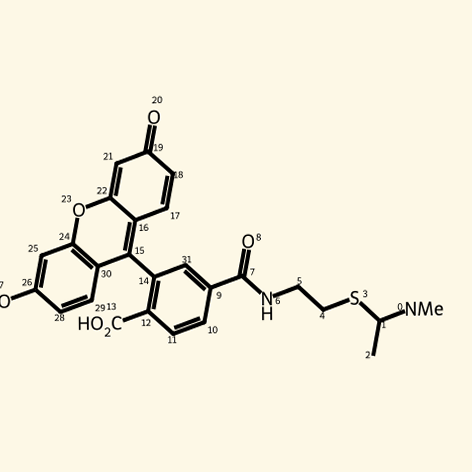 CNC(C)SCCNC(=O)c1ccc(C(=O)O)c(-c2c3ccc(=O)cc-3oc3cc(O)ccc23)c1